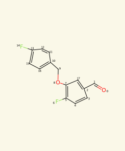 O=Cc1ccc(F)c(OCc2ccc(F)cc2)c1